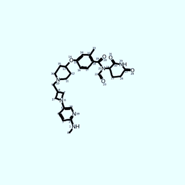 CNc1ccc(N2CC(CN3CCC(Oc4ccc(C(=O)N(C=O)C5CCC(=O)NC5=O)c(C)c4)CC3)C2)cn1